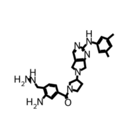 Cc1cc(C)cc(Nc2ncc3c(n2)CN(C2CCN(C(=O)c4ccc(CNN)c(N)c4)C2)C3)c1